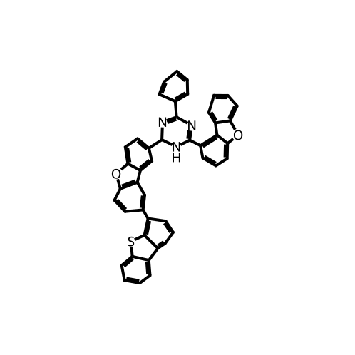 c1ccc(C2=NC(c3ccc4oc5ccc(-c6cccc7c6sc6ccccc67)cc5c4c3)NC(c3cccc4oc5ccccc5c34)=N2)cc1